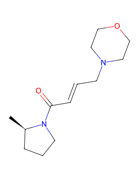 C[C@@H]1CCCN1C(=O)/C=C/CN1CCOCC1